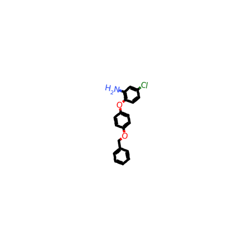 Nc1cc(Cl)ccc1Oc1ccc(OCc2ccccc2)cc1